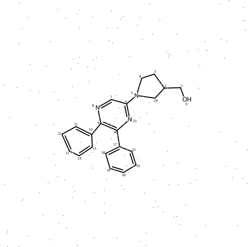 OCC1CCN(c2cnc(-c3ccccc3)c(-c3ccccc3)n2)C1